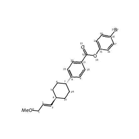 COCC=C[C@H]1CC[C@H](c2ccc(C(=O)Oc3ccc(Br)cc3)cc2)CC1